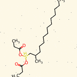 CCCCCCCCCCCCC(C)C[SH](OC(=O)CC)OC(=O)CC